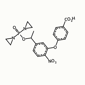 CC(OP(=O)(N1CC1)N1CC1)c1ccc([N+](=O)[O-])c(Oc2ccc(C(=O)O)cc2)c1